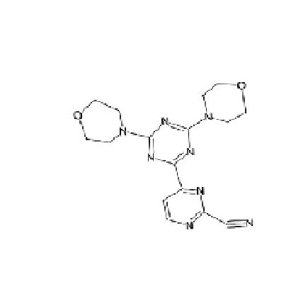 N#Cc1nccc(-c2nc(N3CCOCC3)nc(N3CCOCC3)n2)n1